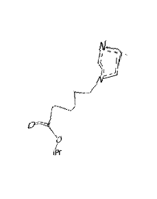 CC(C)OC(=O)CCCCn1c[c]nc1